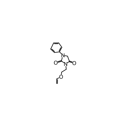 C=COCCN1C(=O)CN(c2ccccc2)C1=O